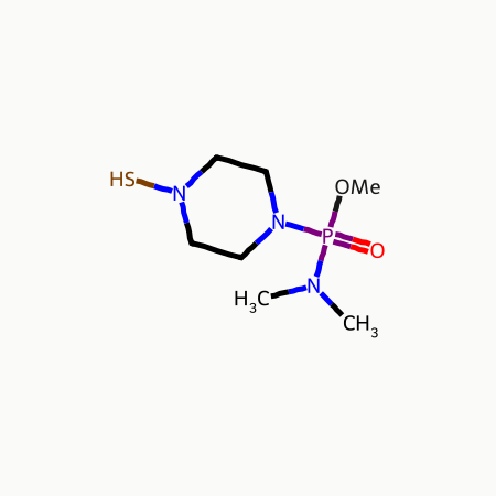 COP(=O)(N(C)C)N1CCN(S)CC1